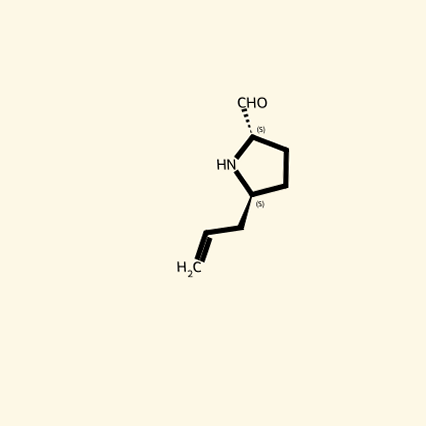 C=CC[C@@H]1CC[C@@H](C=O)N1